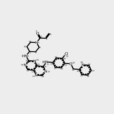 C=CC(=O)N1CCC(Nc2ncc3ncnc(Nc4ccc(OCc5ccccn5)c(Cl)c4)c3n2)CC1